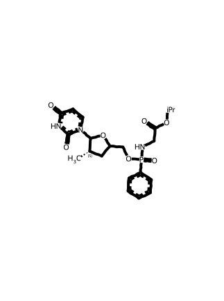 CC(C)OC(=O)CNP(=O)(OCC1C[C@H](C)C(n2ccc(=O)[nH]c2=O)O1)c1ccccc1